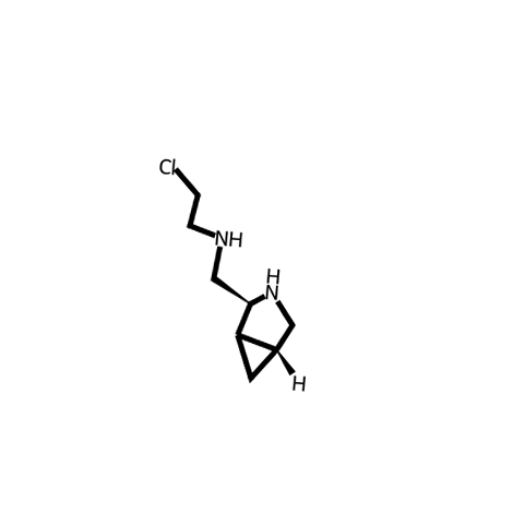 ClCCNC[C@H]1NC[C@@H]2CC21